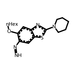 CCCCCCOc1cc2nc(N3CCCCC3)sc2cc1N=N